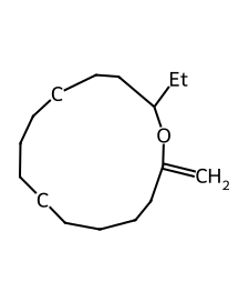 C=C1CCCCCCCCCCCC(CC)O1